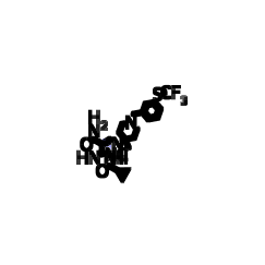 N#CCC1(N/C=C(\C(=N)NC(=O)C2CC2)C(N)=O)CCN(Cc2cccc(SC(F)(F)F)c2)CC1